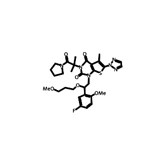 COCCCOC(Cn1c(=O)n(C(C)(C)C(=O)N2CCCC2)c(=O)c2c(C)c(-n3nccn3)sc21)c1cc(F)ccc1OC